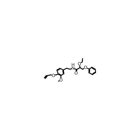 C#CCOc1ccc(CCNC(=O)C(COc2ccccc2)OCC)cc1OC